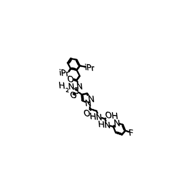 CC(C)c1cccc(C(C)C)c1CC(=O)N=S(N)(=O)c1cnn(C(=O)CNC(O)Nc2ccc(F)cn2)c1